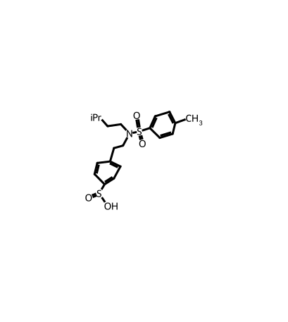 Cc1ccc(S(=O)(=O)N(CCc2ccc(S(=O)O)cc2)CCC(C)C)cc1